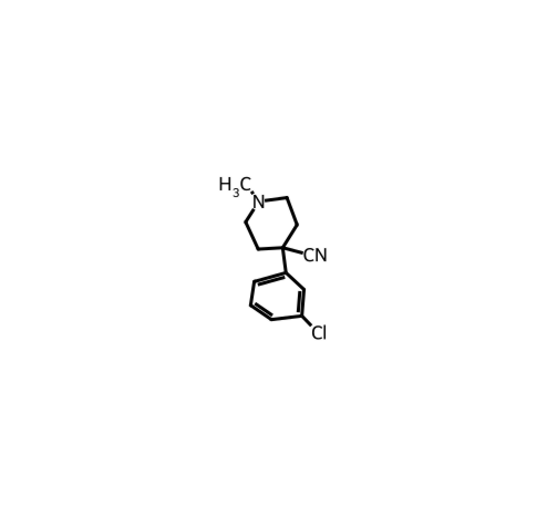 CN1CCC(C#N)(c2cccc(Cl)c2)CC1